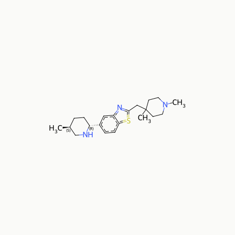 C[C@H]1CC[C@H](c2ccc3sc(CC4(C)CCN(C)CC4)nc3c2)NC1